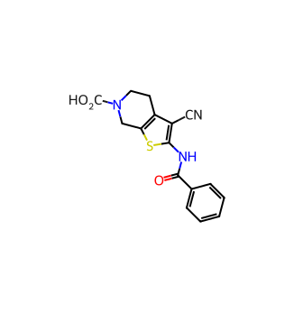 N#Cc1c(NC(=O)c2ccccc2)sc2c1CCN(C(=O)O)C2